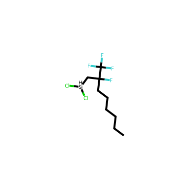 CCCCCCC(F)(C[SiH](Cl)Cl)C(F)(F)F